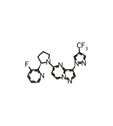 Fc1cccnc1[C@H]1CCCN1c1ccn2ncc(-n3cc(C(F)(F)F)cn3)c2n1